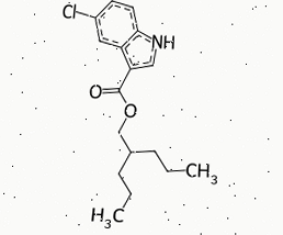 CCCC(CCC)COC(=O)c1c[nH]c2ccc(Cl)cc12